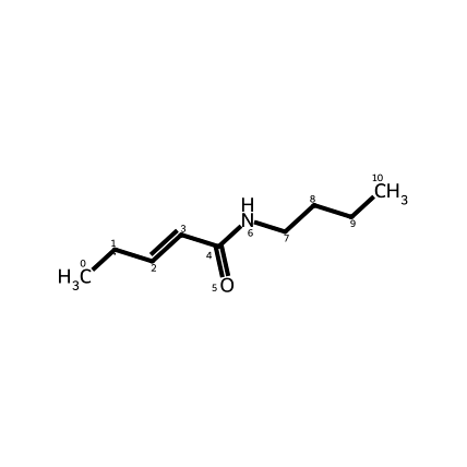 C[CH]C=CC(=O)NCCCC